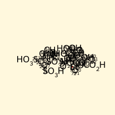 CCC1CC(C(=O)NCCCc2cn(C(C)C(=O)Nc3cc(S(=O)(=O)O)cc4cc(S(=O)(=O)O)cc(S(=O)(=O)O)c34)nn2)C(O[C@@H]2OC(C)C(O)C(O)C2O)[C@H](O[C@@H]2OC(CO)C(O)C(O[C@@H](CC3CCCCC3)C(=O)O)C2OC(=O)c2ccccc2)C1